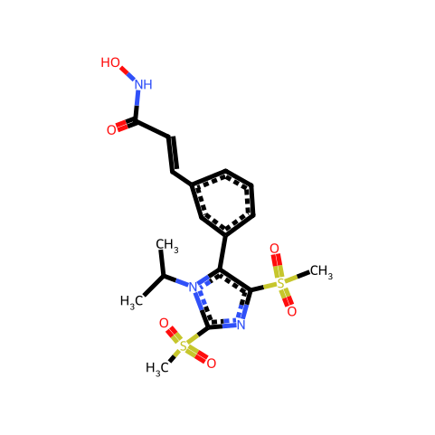 CC(C)n1c(S(C)(=O)=O)nc(S(C)(=O)=O)c1-c1cccc(C=CC(=O)NO)c1